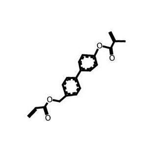 C=CC(=O)OCc1ccc(-c2ccc(OC(=O)C(=C)C)cc2)cc1